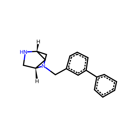 c1ccc(-c2cccc(CN3C[C@@H]4C[C@H]3CN4)c2)cc1